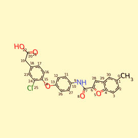 Cc1ccc2oc(C(=O)Nc3ccc(Oc4ccc(CC(=O)O)cc4Cl)cc3)cc2c1